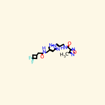 Cc1nonc1C(=O)NCc1cn2ncc(CNC(=O)CC3CC(F)(F)C3)cc2n1